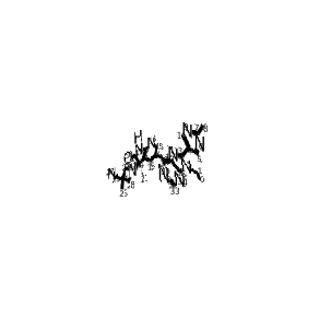 CCn1c(-c2cnc(C)nc2)nc2c(-c3cnc4c(c3)[C@@](C)(N3CC(C)(C#N)C3)C(=O)N4)ncnc21